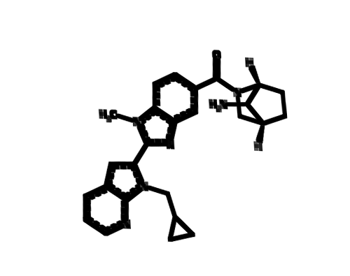 Cn1c(-c2cc3cccnc3n2CC2CC2)nc2cc(C(=O)N3C[C@H]4CC[C@@H]3C4N)ccc21